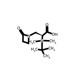 CC(C)(C)[Si](C)(C)[C@@H](CN1CCC1=O)C(=O)O